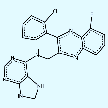 Fc1cccc2nc(CNc3ncnc4c3NCN4)c(-c3ccccc3Cl)nc12